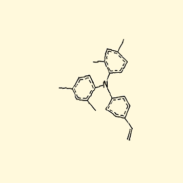 C=Cc1ccc(N(c2ccc(C)cc2C)c2ccc(C)cc2C)cc1